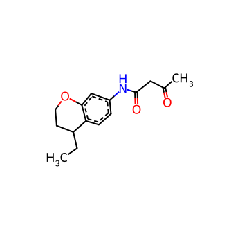 CCC1CCOc2cc(NC(=O)CC(C)=O)ccc21